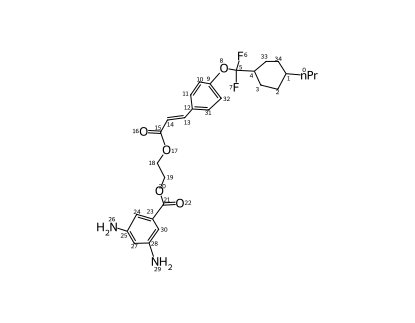 CCCC1CCC(C(F)(F)Oc2ccc(C=CC(=O)OCCOC(=O)c3cc(N)cc(N)c3)cc2)CC1